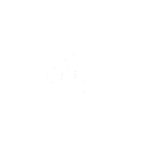 CNNc1cc(NNC)c2ncccc2c1